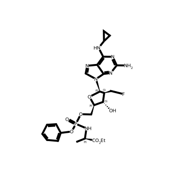 CCOC(=O)[C@@H](C)NP(=O)(OC[C@H]1O[C@@H](n2cnc3c(NC4CC4)nc(N)nc32)[C@@H](CF)[C@@H]1O)Oc1ccccc1